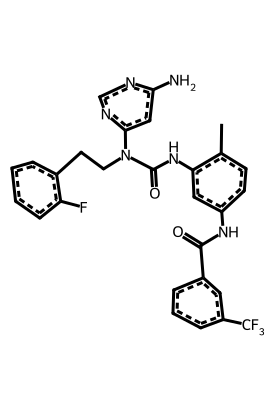 Cc1ccc(NC(=O)c2cccc(C(F)(F)F)c2)cc1NC(=O)N(CCc1ccccc1F)c1cc(N)ncn1